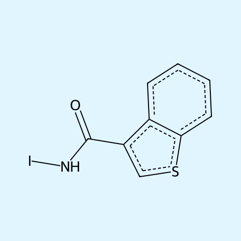 O=C(NI)c1csc2ccccc12